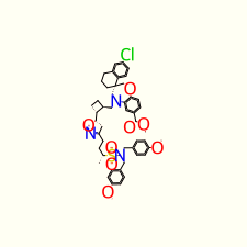 COC(=O)c1ccc2c(c1)N(C[C@@H]1CC[C@H]1[C@@H]1CC(CC[C@@H](C)S(=O)(=O)N(Cc3ccc(OC)cc3)Cc3ccc(OC)cc3)=NO1)C[C@@]1(CCCc3cc(Cl)ccc31)CO2